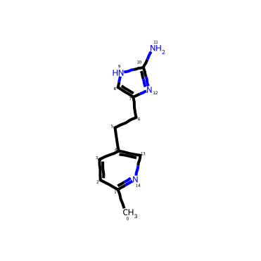 Cc1ccc(CCc2c[nH]c(N)n2)cn1